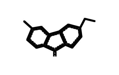 CCc1ccc2[nH]c3ccc(C)cc3c2c1